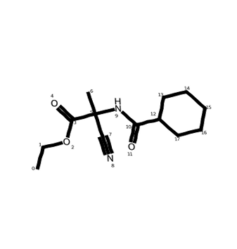 CCOC(=O)C(C)(C#N)NC(=O)C1CCCCC1